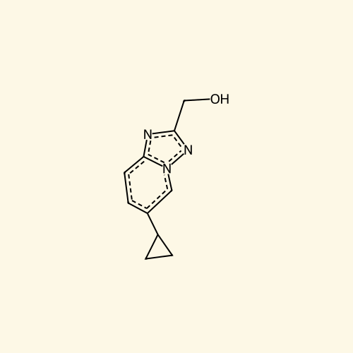 OCc1nc2ccc(C3CC3)cn2n1